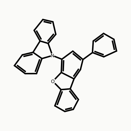 c1ccc(-c2cc(-n3c4ccccc4c4ccccc43)c3oc4ccccc4c3c2)cc1